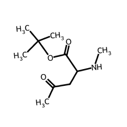 CNC(CC(C)=O)C(=O)OC(C)(C)C